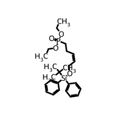 CCOP(=O)(CC/C=C\CO[Si](c1ccccc1)(c1ccccc1)C(C)(C)C)OCC